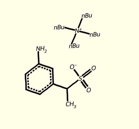 CC(c1cccc(N)c1)S(=O)(=O)[O-].CCCC[N+](CCCC)(CCCC)CCCC